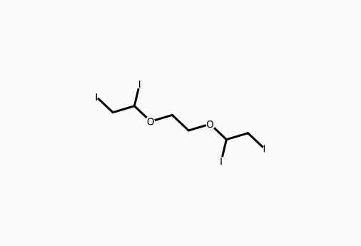 ICC(I)OCCOC(I)CI